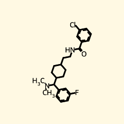 CN(C)C(c1cccc(F)c1)C1CCC(CCNC(=O)c2cccc(Cl)c2)CC1